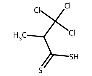 CC(C(=S)S)C(Cl)(Cl)Cl